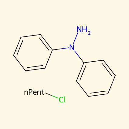 CCCCCCl.NN(c1ccccc1)c1ccccc1